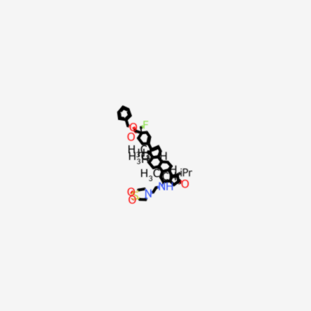 CC(C)C1=C2C(CC1=O)[C@@H](NCCN1CCS(=O)(=O)CC1)C[C@]1(C)[C@@H]2CC[C@@H]2[C@@]3(C)CC=C(C4=CC[C@@](CF)(C(=O)OCc5ccccc5)CC4)C(C)(C)[C@@H]3CC[C@]21C